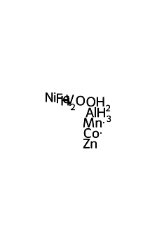 O.O.[AlH3].[Co].[Fe].[Mn].[Ni].[V].[Zn]